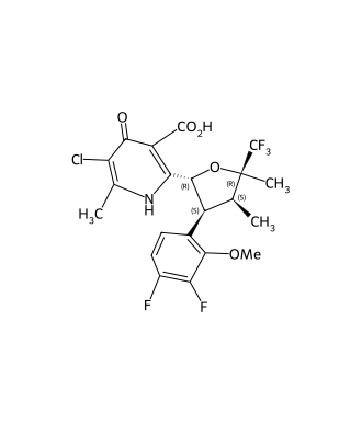 COc1c([C@H]2[C@H](c3[nH]c(C)c(Cl)c(=O)c3C(=O)O)O[C@@](C)(C(F)(F)F)[C@H]2C)ccc(F)c1F